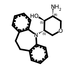 N[C@@H]1COC[C@H](N2c3ccccc3CCc3ccccc32)[C@H]1O